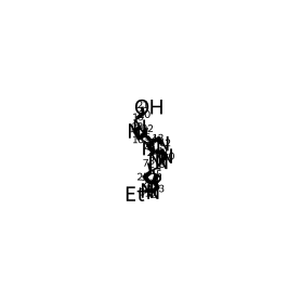 CCn1ncc2sc(Cn3nnc4ncc(-c5cnn(CCO)c5)nc43)cc21